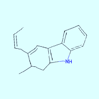 C/C=C\C1=Cc2c([nH]c3ccccc23)CC1C